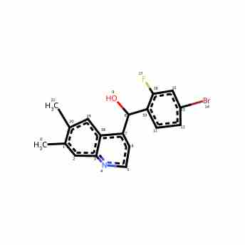 Cc1cc2nccc(C(O)c3ccc(Br)cc3F)c2cc1C